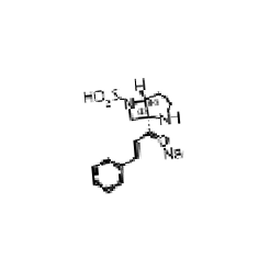 O=C(C=Cc1ccccc1)[C@]12CN(S(=O)(=O)O)[C@@H]1CCN2.[Na]